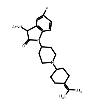 CC(=O)NC1C(=O)N(C2CCN(C3CCC(=C(C)C)CC3)CC2)c2ccc(F)cc21